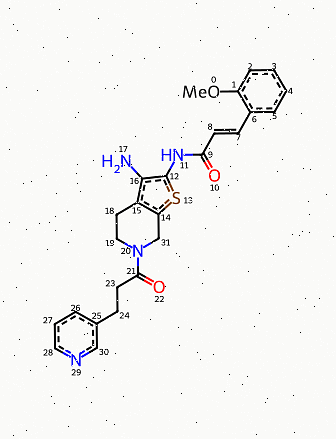 COc1ccccc1/C=C/C(=O)Nc1sc2c(c1N)CCN(C(=O)CCc1cccnc1)C2